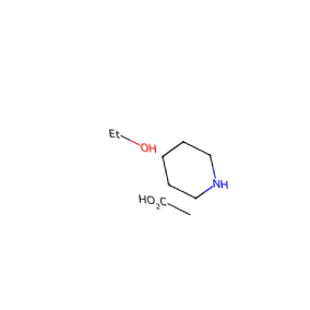 C1CCNCC1.CC(=O)O.CCO